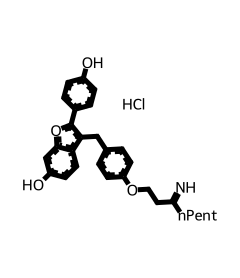 CCCCCC(=N)CCOc1ccc(Cc2c(-c3ccc(O)cc3)oc3cc(O)ccc23)cc1.Cl